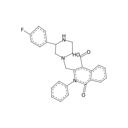 O=C(O)c1c(CN2CCNC(c3ccc(F)cc3)C2)n(-c2ccccc2)c(=O)c2ccccc12